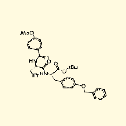 COc1ccc(C(=O)N[C@@H](CC(C)C)C(=O)N[C@@H](Cc2ccc(OCc3ccccc3)cc2)C(=O)OC(C)(C)C)cc1